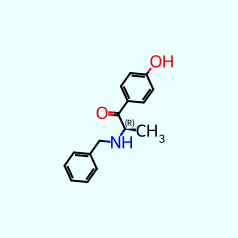 C[C@@H](NCc1ccccc1)C(=O)c1ccc(O)cc1